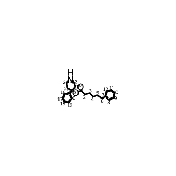 O=C(CCCCCc1ccccc1)OC1(c2ccccc2)CCNCC1